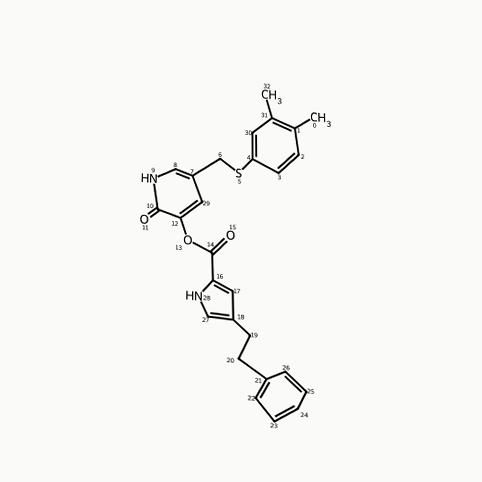 Cc1ccc(SCc2c[nH]c(=O)c(OC(=O)c3cc(CCc4ccccc4)c[nH]3)c2)cc1C